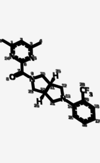 Cc1cc(C)nc(C(=O)N2C[C@@H]3CN(c4ccccc4C(F)(F)F)C[C@@H]3C2)n1